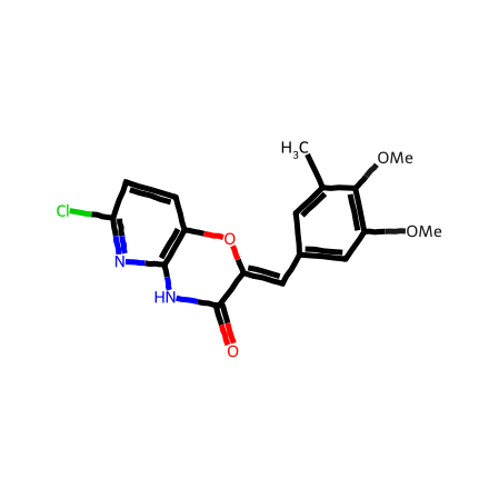 COc1cc(/C=C2\Oc3ccc(Cl)nc3NC2=O)cc(C)c1OC